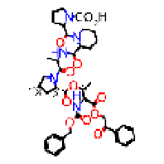 CC(NC(=O)C1CCCCN1C(=O)C1CCCN1C(=O)O)C(=O)N1C[C@@H](C)C[C@H]1C(=O)O[C@@H](C)[C@H](NC(=O)OCc1ccccc1)C(=O)OCC(=O)c1ccccc1